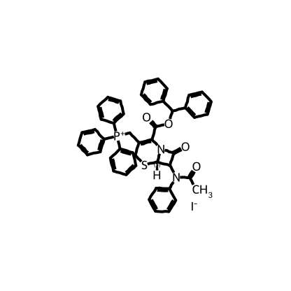 CC(=O)N(c1ccccc1)C1C(=O)N2C(C(=O)OC(c3ccccc3)c3ccccc3)=C(C[P+](c3ccccc3)(c3ccccc3)c3ccccc3)CS[C@@H]12.[I-]